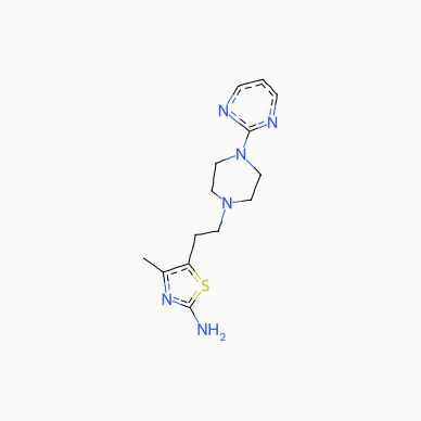 Cc1nc(N)sc1CCN1CCN(c2ncccn2)CC1